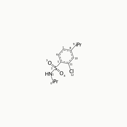 CC(C)NS(=O)(=O)c1ccc(C(C)C)cc1Cl